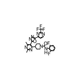 Cc1nc(C)c(-c2nnc(-c3ccnc(C(F)(F)F)n3)o2)c(C2CCN(C(=O)Nc3c(F)cccc3F)CC2)n1